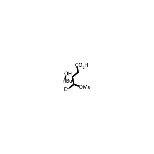 CCCCO.[CH2]CC(CCC(=O)O)OC